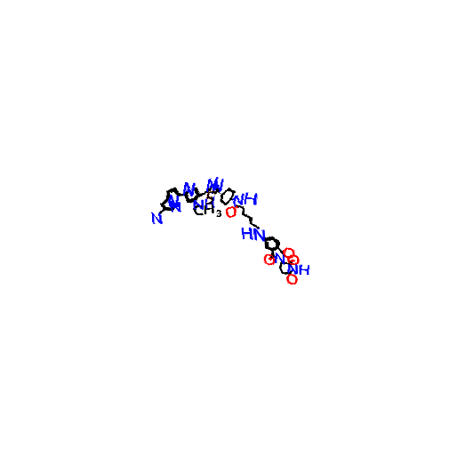 CNc1cc(-c2ccc3cc(C#N)cnn23)ncc1-c1nnc([C@H]2CC[C@H](NC(=O)CCCCCNc3ccc4c(c3)C(=O)N(C3CCC(=O)NC3=O)C4=O)CC2)s1